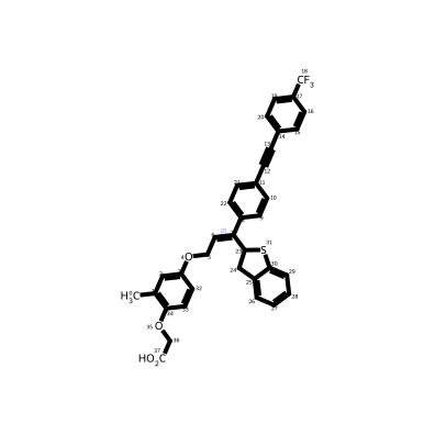 Cc1cc(OC/C=C(/c2ccc(C#Cc3ccc(C(F)(F)F)cc3)cc2)C2Cc3ccccc3S2)ccc1OCC(=O)O